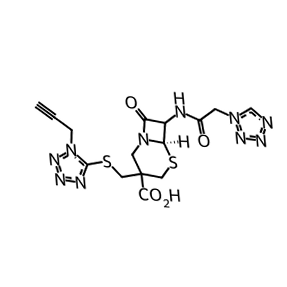 C#CCn1nnnc1SCC1(C(=O)O)CS[C@@H]2C(NC(=O)Cn3cnnn3)C(=O)N2C1